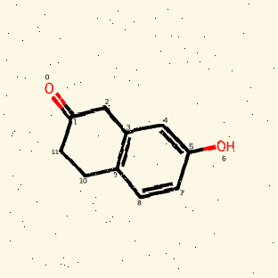 O=C1[C]c2cc(O)ccc2CC1